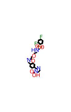 CN(Cc1ccc(C2=NCCN2C(=O)O)cc1)C(=O)COCCNCS(=O)(=O)c1ccc(F)cc1F